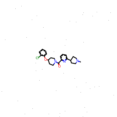 CN1CCC(c2cccc(C(=O)N3CCC(Oc4ccccc4Cl)CC3)n2)CC1